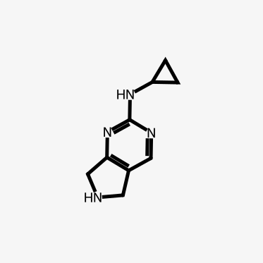 c1nc(NC2CC2)nc2c1CNC2